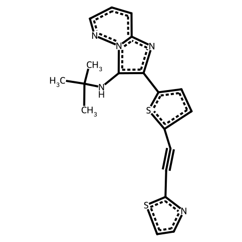 CC(C)(C)Nc1c(-c2ccc(C#Cc3nccs3)s2)nc2cccnn12